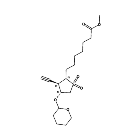 C#C[C@@H]1[C@@H](OC2CCCCO2)CS(=O)(=O)[C@H]1CCCCCCC(=O)OC